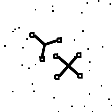 ClC(Cl)(Cl)Cl.ClC(Cl)Cl